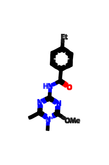 CCc1ccc(C(=O)Nc2nc(C)[n+](C)c(OC)n2)cc1